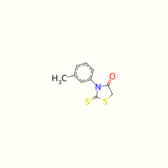 Cc1cccc(N2C(=O)CSC2=S)c1